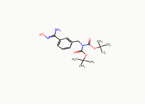 CC(C)(C)OC(=O)N(Cc1cccc(C(N)=NO)c1)C(=O)OC(C)(C)C